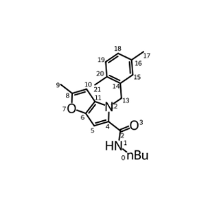 CCCCNC(=O)c1cc2oc(C)cc2n1Cc1cc(C)ccc1C